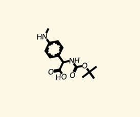 CNc1ccc(C(NC(=O)OC(C)(C)C)C(=O)O)cc1